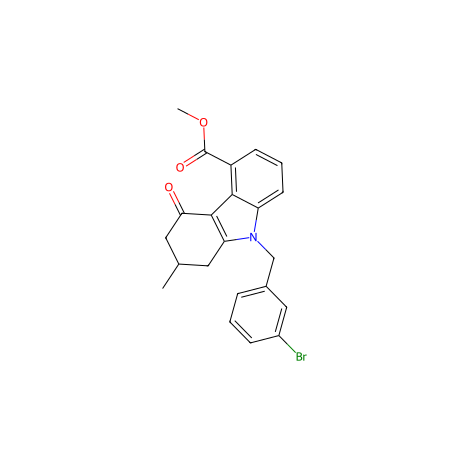 COC(=O)c1cccc2c1c1c(n2Cc2cccc(Br)c2)CC(C)CC1=O